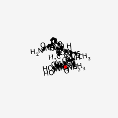 CSCC[C@H](NC(=O)CNC(=O)[C@H](CC(C)C)NC(=O)[C@@H]1CCCN1C(=O)CNC(=O)CN)C(=O)N[C@@H](CC(C)C)C(=O)N[C@@H](CO)C(=O)N[C@@H](CCC(N)=O)C(=O)N[C@@H](CO)C(=O)O